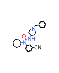 N#Cc1cccc(N(C(=O)NC2CCN(Cc3ccccc3)CC2)C2CCCCCC2)c1